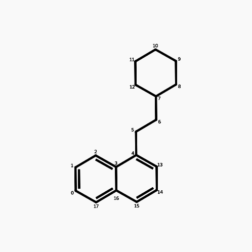 c1ccc2c(CCC3CCCCC3)cccc2c1